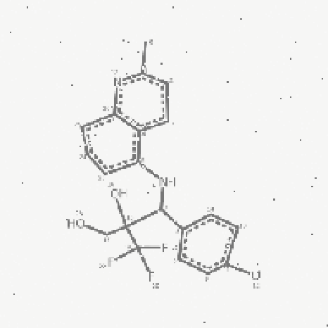 Cc1ccc2c(NC(c3ccc(Cl)cc3)C(O)(CO)C(F)(F)F)cccc2n1